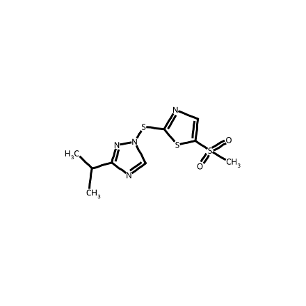 CC(C)c1ncn(Sc2ncc(S(C)(=O)=O)s2)n1